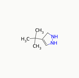 CC(C)(C)C1=CNNC1